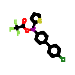 O=C(O[I+](c1ccc(-c2ccc(Cl)cc2)cc1)c1cccs1)C(F)(F)F